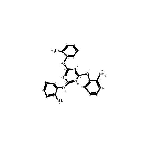 Nc1ccccc1Oc1nc(Oc2ccccc2N)nc(Oc2ccccc2N)n1